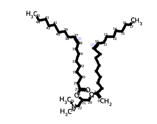 C=C(CCCCCCC/C=C\CCCCCCCC)OCC(CN(C)C)OC(=O)CCCCCCC/C=C\CCCCCCCC